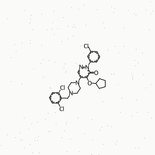 O=c1c(OC2CCCC2)c(N2CCN(Cc3c(Cl)cccc3Cl)CC2)cnn1-c1cccc(Cl)c1